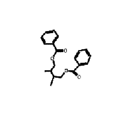 CC(COC(=O)c1ccccc1)C(C)COC(=O)c1ccccc1